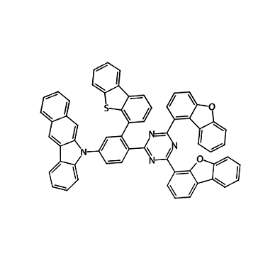 c1ccc2cc3c(cc2c1)c1ccccc1n3-c1ccc(-c2nc(-c3cccc4c3oc3ccccc34)nc(-c3cccc4oc5ccccc5c34)n2)c(-c2cccc3c2sc2ccccc23)c1